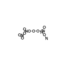 N#Cc1ccc(-c2nc(-c3ccccc3)cc(-c3ccc(-c4ccc(-c5ccc(-n6c7ccccc7c7cc(-n8c9ccccc9c9ccccc98)ccc76)cc5)cc4)cc3)n2)cc1